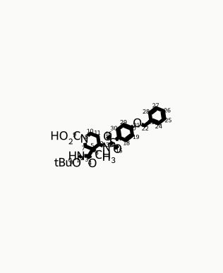 CC(C)(C)ONC(=O)C1(C)CN(C(=O)O)CCC1NS(=O)(=O)c1ccc(OCc2ccccc2)cc1